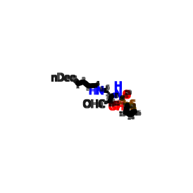 CCCCCCCCCCCCCCNC[C@H](NS(=O)(=O)c1cccs1)[C@@H](O)C=O